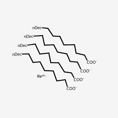 CCCCCCCCCCCCCCCCCC(=O)[O-].CCCCCCCCCCCCCCCCCC(=O)[O-].CCCCCCCCCCCCCCCCCC(=O)[O-].CCCCCCCCCCCCCCCCCC(=O)[O-].[Re+4]